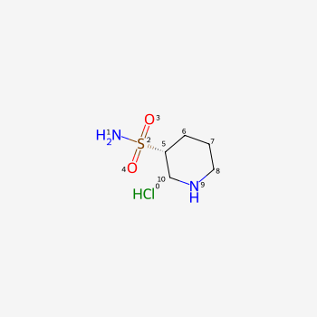 Cl.NS(=O)(=O)[C@@H]1CCCNC1